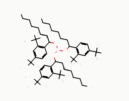 CCCCCCCC(OP(OC(CCCCCCC)c1ccc(C(C)(C)C)cc1C(C)(C)C)OC(CCCCCCC)c1ccc(C(C)(C)C)cc1C(C)(C)C)c1ccc(C(C)(C)C)cc1C(C)(C)C